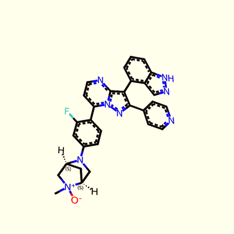 C[N+]1([O-])C[C@@H]2C[C@H]1CN2c1ccc(-c2ccnc3c(-c4cccc5[nH]ncc45)c(-c4ccncc4)nn23)c(F)c1